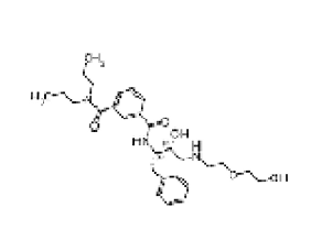 CCCN(CCC)C(=O)c1cccc(C(=O)N[C@@H](Cc2ccccc2)[C@H](O)CNCCOCCO)c1